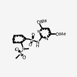 COc1cc(OC)nc(NS(=O)(=O)c2ccccc2N(C)S(C)(=O)=O)n1